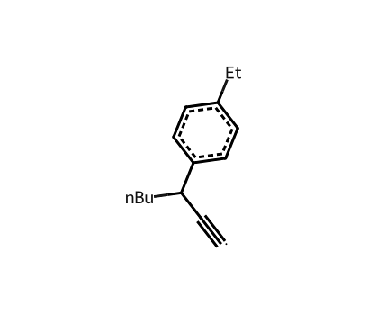 [C]#CC(CCCC)c1ccc(CC)cc1